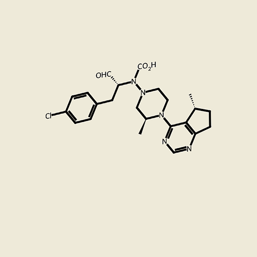 C[C@@H]1CCc2ncnc(N3CCN(N(C(=O)O)[C@@H](C=O)Cc4ccc(Cl)cc4)C[C@@H]3C)c21